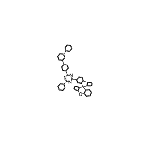 c1ccc(-c2cccc(-c3ccc(-c4nc(-c5ccccc5)nc(-c5ccc6c(c5)C5(c7ccccc7Oc7ccccc75)c5ccccc5-6)n4)cc3)c2)cc1